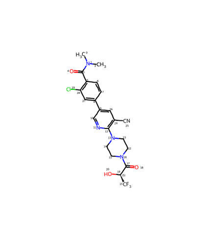 CN(C)C(=O)c1ccc(-c2cnc(N3CCN(C(=O)[C@H](O)C(F)(F)F)CC3)c(C#N)c2)cc1Cl